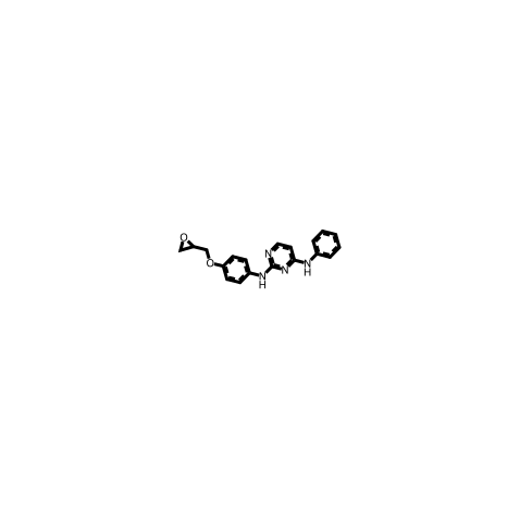 c1ccc(Nc2ccnc(Nc3ccc(OCC4CO4)cc3)n2)cc1